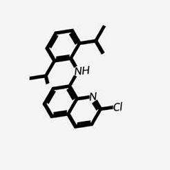 CC(C)c1cccc(C(C)C)c1Nc1cccc2ccc(Cl)nc12